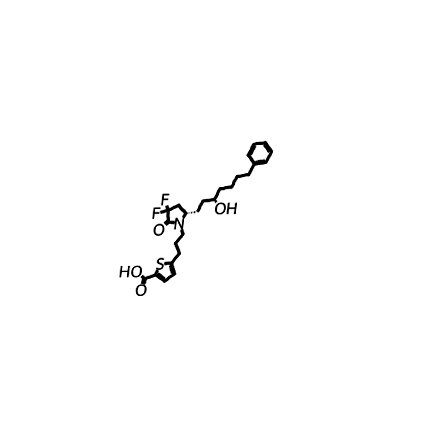 O=C(O)c1ccc(CCCN2C(=O)C(F)(F)C[C@@H]2CC[C@H](O)CCCCc2ccccc2)s1